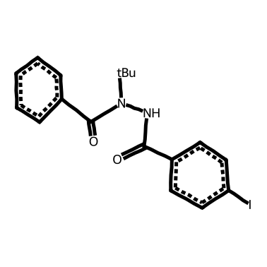 CC(C)(C)N(NC(=O)c1ccc(I)cc1)C(=O)c1ccccc1